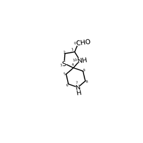 O=CC1CSC2(CCNCC2)N1